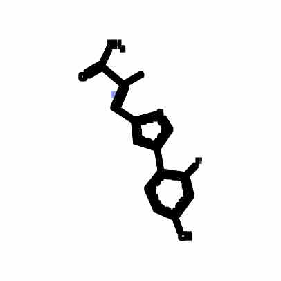 C/C(=C\c1cc(-c2ccc(C#N)cc2F)cs1)C(N)=O